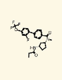 CCC(=O)N[C@H]1CC[C@@H](N(C)C(=O)c2ccc(-c3ccc(OC(F)(F)F)cc3F)cc2)C1